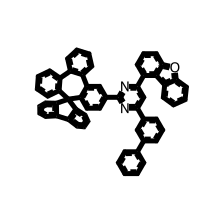 c1ccc(-c2cccc(-c3cc(-c4cccc5oc6ccccc6c45)nc(-c4ccc5c(c4)-c4ccccc4-c4ccccc4C54c5ccccc5-c5ccccc54)n3)c2)cc1